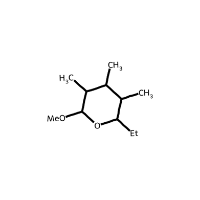 CCC1OC(OC)C(C)C(C)C1C